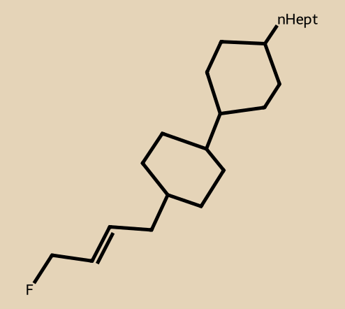 CCCCCCCC1CCC(C2CCC(C/C=C/CF)CC2)CC1